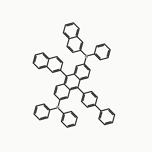 c1ccc(-c2ccc(-c3c4ccc(N(c5ccccc5)c5ccc6ccccc6c5)cc4c(-c4ccc5ccccc5c4)c4ccc(N(c5ccccc5)c5ccccc5)cc34)cc2)cc1